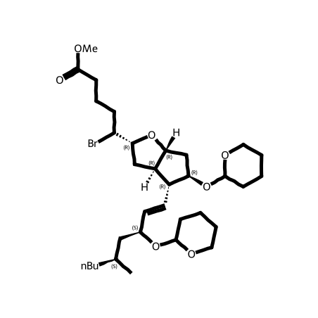 CCCC[C@H](C)C[C@@H](C=C[C@@H]1[C@H]2C[C@H](C(Br)CCCC(=O)OC)O[C@@H]2C[C@H]1OC1CCCCO1)OC1CCCCO1